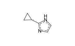 c1c[nH]c([C]2CC2)n1